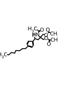 CCCCCCCCc1ccc(C(F)CC(COC(C)=O)(COC(C)=O)NC(C)=O)cc1